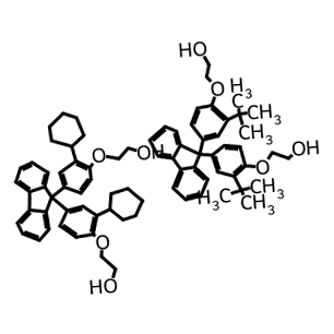 CC(C)(C)c1cc(C2(c3ccc(OCCO)c(C(C)(C)C)c3)c3ccccc3-c3ccccc32)ccc1OCCO.OCCOc1ccc(C2(c3ccc(OCCO)c(C4CCCCC4)c3)c3ccccc3-c3ccccc32)cc1C1CCCCC1